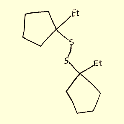 CCC1(SSC2(CC)CCCC2)CCCC1